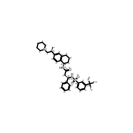 C[C@H](CN1CCCCC1)c1ccc2c(c1)CCC[C@H]2NC(=O)C[C@@H](NS(=O)(=O)c1cccc(C(F)(F)F)c1)c1ccccc1